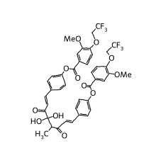 COc1cc(C(=O)Oc2ccc(C=CC(=O)C(C)C(O)(O)C(=O)C=Cc3ccc(OC(=O)c4ccc(OCC(F)(F)F)c(OC)c4)cc3)cc2)ccc1OCC(F)(F)F